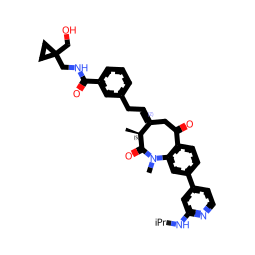 CC(C)Nc1cc(-c2ccc3c(c2)N(C)C(=O)[C@@H](C)/C(=C\Cc2cccc(C(=O)NCC4(CO)CC4)c2)CC3=O)ccn1